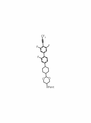 CCCCCC1COC(C2CCC(c3ccc(-c4cc(F)c(C#CC(F)(F)F)c(F)c4)c(F)c3)CC2)OC1